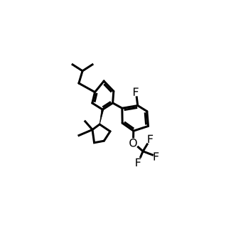 CC(C)Cc1ccc(-c2cc(OC(F)(F)F)ccc2F)c([C@H]2CCCC2(C)C)c1